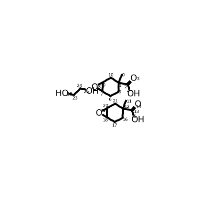 CC1(C(=O)O)CCC2OC2C1.CC1(C(=O)O)CCC2OC2C1.OCCO